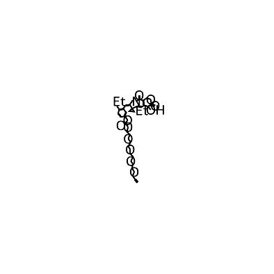 C#CCOCCOCCOCCOCCOC(=O)Oc1ccc(C)c(/C(CC)=C2/Cn3c(cc4c(c3=O)COC(=O)[C@]4(O)CC)C23CC3)c1